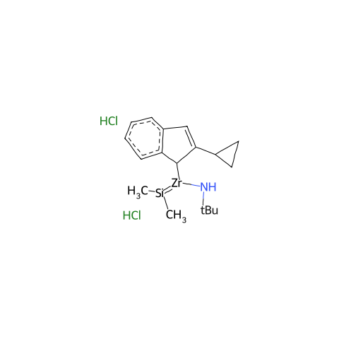 C[Si](C)=[Zr]([NH]C(C)(C)C)[CH]1C(C2CC2)=Cc2ccccc21.Cl.Cl